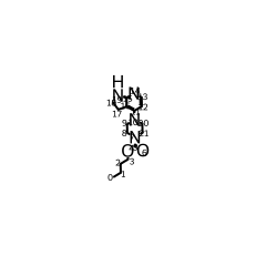 CCCCOC(=O)N1CCN(c2ccnc3c2CCN3)CC1